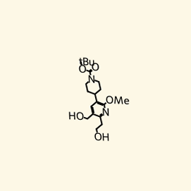 COc1nc(CCO)c(CO)cc1C1CCN(C(=O)OC(C)(C)C)CC1